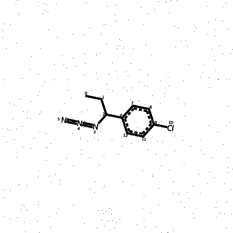 CCC(N=[N+]=[N-])c1ccc(Cl)cc1